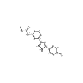 COC(=O)Nc1cccc(-c2cc(-c3ccc(Cl)cc3)[nH]n2)c1